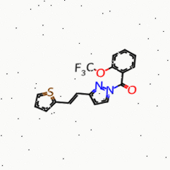 O=C(c1ccccc1OC(F)(F)F)n1ccc(/C=C/c2cccs2)n1